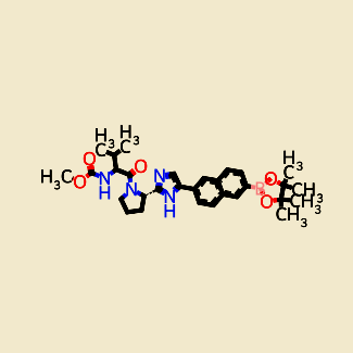 COC(=O)NC(C(=O)N1CCC[C@H]1c1ncc(-c2ccc3cc(B4OC(C)(C)C(C)(C)O4)ccc3c2)[nH]1)C(C)C